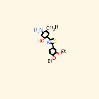 CCOc1ccc(-c2nc(-c3cc(C(=O)O)c(N)cc3O)cs2)cc1OCC